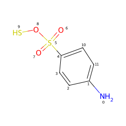 Nc1ccc(S(=O)(=O)OS)cc1